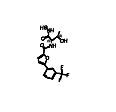 C[C@@H](O)[C@H](NC(=O)c1ccc(-c2cccc(C(F)(F)F)c2)o1)C(=O)NO